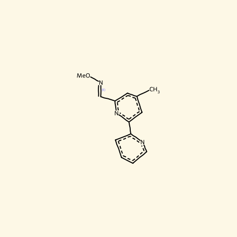 CO/N=C/c1cc(C)cc(-c2ccccn2)n1